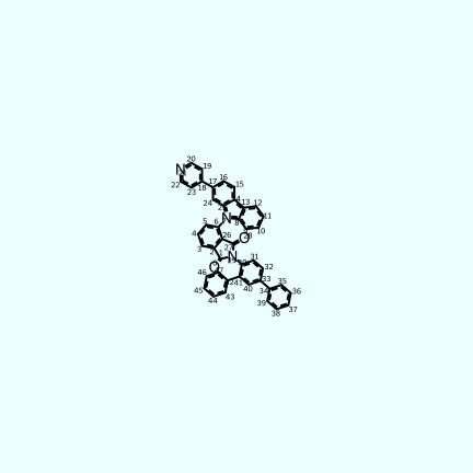 O=C1c2cccc(-n3c4ccccc4c4ccc(-c5ccncc5)cc43)c2C(=O)N1c1ccc(-c2ccccc2)cc1-c1ccccc1